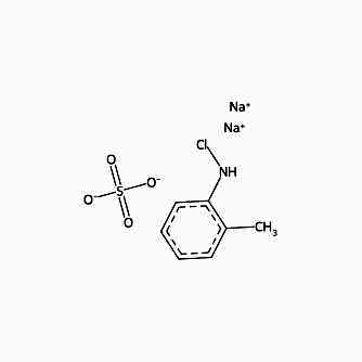 Cc1ccccc1NCl.O=S(=O)([O-])[O-].[Na+].[Na+]